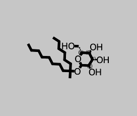 CCCCCCCCC(C)(CCCCCC)OC1O[C@H](CO)[C@@H](O)[C@H](O)[C@H]1O